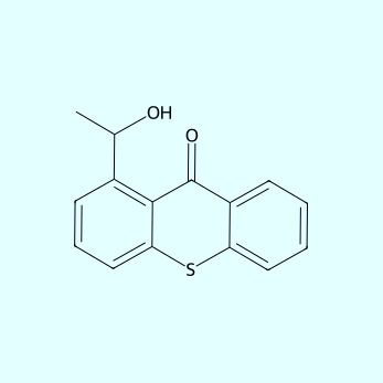 CC(O)c1cccc2sc3ccccc3c(=O)c12